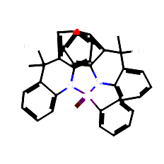 CC1(C)c2ccccc2N(P(=S)(c2ccccc2)N2c3ccccc3C(C)(C)c3ccccc32)c2ccccc21